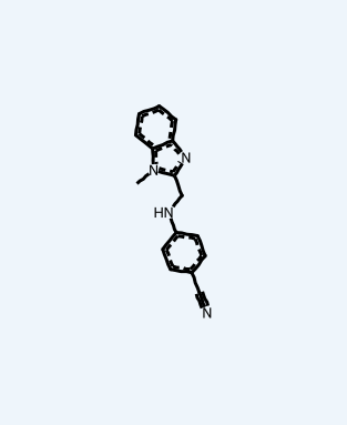 Cn1c(CNc2ccc(C#N)cc2)nc2ccccc21